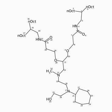 CCCCCCCCC(CCCCCCCC)CNC(=O)CCOCC(CN(C)CCN(CCO)C1CCCCCC1)OCCC(=O)NCC(CCCCCCCC)CCCCCCCC